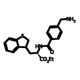 CCOC(=O)[C@H](CC1CSc2ccccc21)NC(=O)c1ccc(CN)cc1